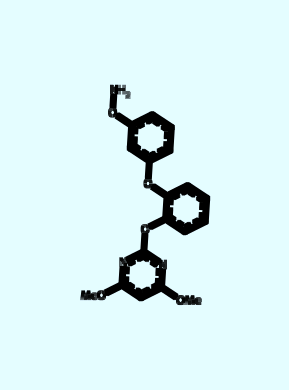 COc1cc(OC)nc(Oc2ccccc2Oc2cccc(ON)c2)n1